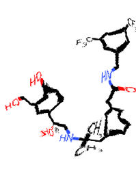 CC(C)(Cc1cccc(CC(=O)NCc2cc(C(F)(F)F)cc(C(F)(F)F)c2)c1)NC[C@H](O)c1ccc(O)c(CO)c1